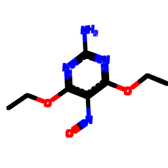 CCOc1nc(N)nc(OCC)c1N=O